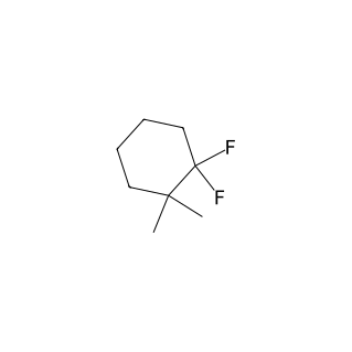 CC1(C)CCCCC1(F)F